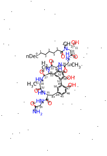 CCCCCCCCCCCCCCCC(=O)N(C)[C@H](CO)C(=O)N[C@H](C)C(=O)NCC(=O)N(C)[C@@H]1C(=O)N[C@@H](C)C(=O)N[C@H](C(=O)NCC(N)=O)Cc2ccc(O)c(c2)-c2cc1ccc2O